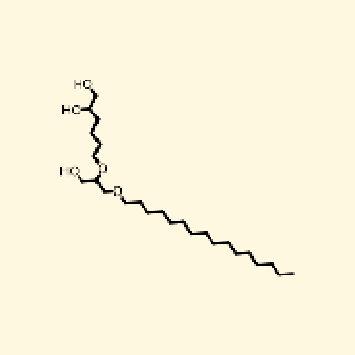 CCCCCCCCCCCCCCCCOCC(CO)OCCCCC(O)CO